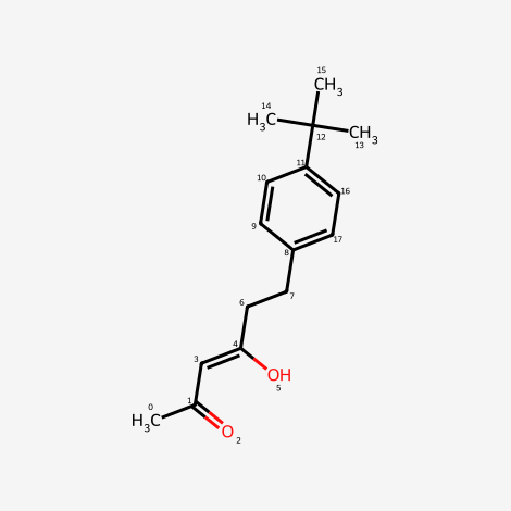 CC(=O)/C=C(\O)CCc1ccc(C(C)(C)C)cc1